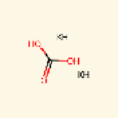 O=C(O)O.[KH].[KH]